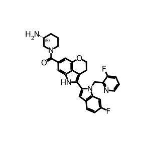 N[C@@H]1CCCN(C(=O)c2cc3c4c(c(-c5cc6ccc(F)cc6n5Cc5ncccc5F)[nH]c4c2)CCO3)C1